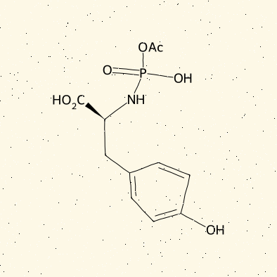 CC(=O)OP(=O)(O)N[C@@H](Cc1ccc(O)cc1)C(=O)O